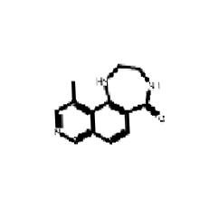 Cc1cncc2ccc3c(c12)NCCNC3=O